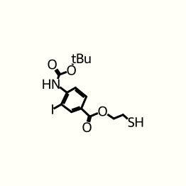 CC(C)(C)OC(=O)Nc1ccc(C(=O)OCCS)cc1I